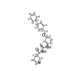 O=C(NC(=S)Nc1cccc(OCc2ccc(-c3ccccc3)cc2)c1)c1cccnc1